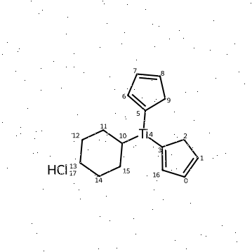 C1=CC[C]([Ti]([C]2=CC=CC2)[CH]2CCCCC2)=C1.Cl